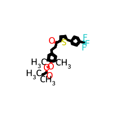 Cc1cc(CCC(=O)c2ccc(-c3ccc(C(F)(F)F)cc3)s2)cc(C)c1OOC(=O)C(C)C